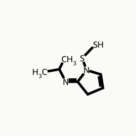 CC(C)/N=C1/CC=CN1SS